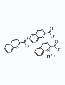 O=C([O-])c1ccc2ccccc2n1.O=C([O-])c1ccc2ccccc2n1.O=C([O-])c1ccc2ccccc2n1.[N+3]